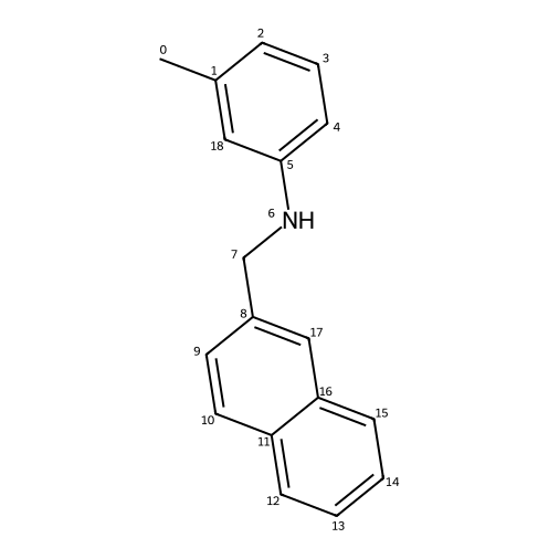 Cc1cccc(NCc2ccc3ccccc3c2)c1